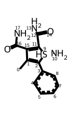 CC1=C(c2ccccc2)[SH](N)C(C(N)=O)=C1C(N)=O